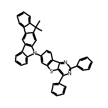 CC1(C)c2ccccc2-c2cc3c4ccccc4n(-c4ccc5c(c4)sc4c(-c6ccccc6)nc(-c6ccccc6)nc45)c3cc21